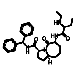 CCN[C@@H](CC)C(=O)N[C@H]1CCC[C@H]2CC[C@@H](C(=O)NC(c3ccccc3)c3ccccc3)N2C1=O